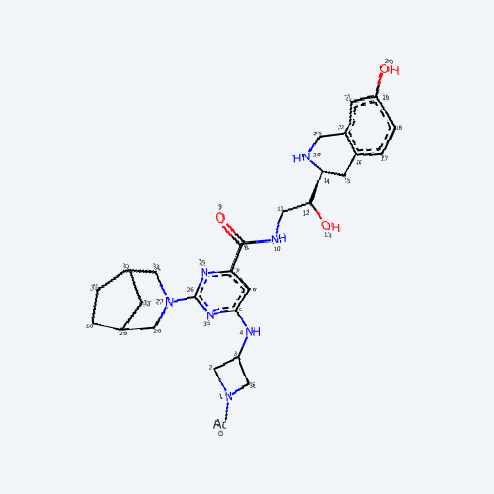 CC(=O)N1CC(Nc2cc(C(=O)NCC(O)[C@@H]3Cc4ccc(O)cc4CN3)nc(N3CC4CCC(C4)C3)n2)C1